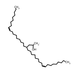 [CH2]C(O)CC(CCCCCCCC/C=C\CCCCCCCC)CCCCCCCC/C=C\CCCCCCCC